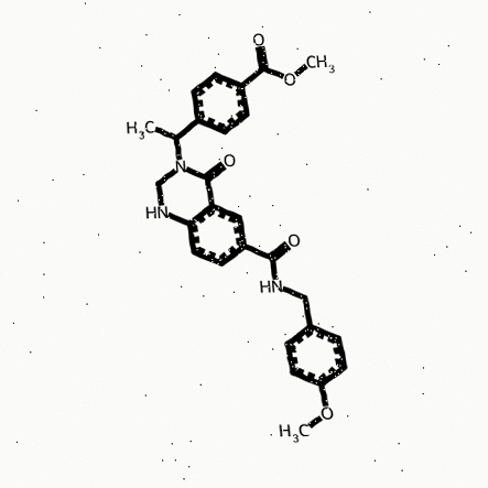 COC(=O)c1ccc(C(C)N2CNc3ccc(C(=O)NCc4ccc(OC)cc4)cc3C2=O)cc1